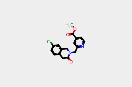 COC(=O)c1ccnc(CN2Cc3cc(Cl)ccc3CC2=O)c1